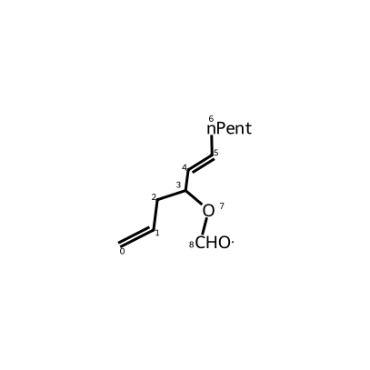 C=CCC(/C=C/CCCCC)O[C]=O